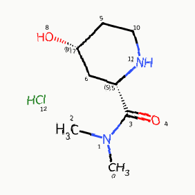 CN(C)C(=O)[C@@H]1C[C@H](O)CCN1.Cl